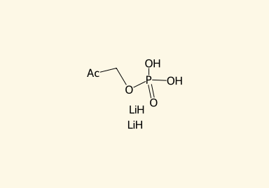 CC(=O)COP(=O)(O)O.[LiH].[LiH]